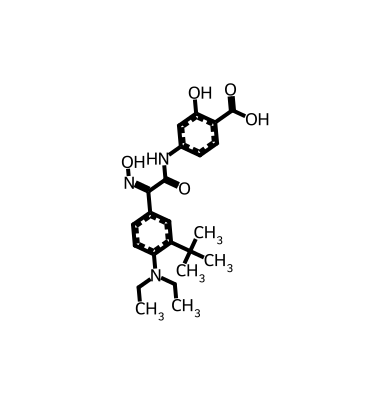 CCN(CC)c1ccc(C(=NO)C(=O)Nc2ccc(C(=O)O)c(O)c2)cc1C(C)(C)C